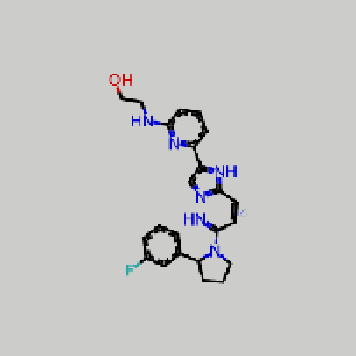 N=C(/C=C\c1ncc(-c2cccc(NCCO)n2)[nH]1)N1CCCC1c1cccc(F)c1